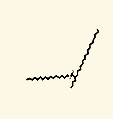 CCCCCCCCCCCCCCCCCCC(CCCC)C(=O)OCCCCCCCCCCCCCCCC